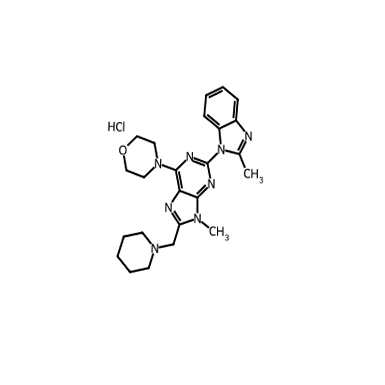 Cc1nc2ccccc2n1-c1nc(N2CCOCC2)c2nc(CN3CCCCC3)n(C)c2n1.Cl